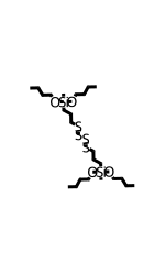 CCCCO[Si](C)(CCCSSSSCCC[Si](C)(OCCCC)OCCCC)OCCCC